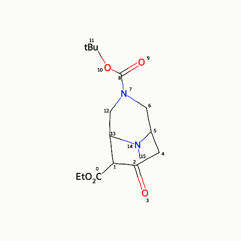 CCOC(=O)C1C(=O)CC2CN(C(=O)OC(C)(C)C)CC1N2C